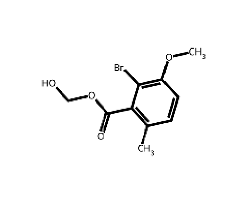 COc1ccc(C)c(C(=O)OCO)c1Br